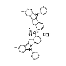 Cc1ccc2c(c1)c1c(n2-c2ccccc2)C2=CC=C[CH]([Zr+2]([CH]3C=CC=C4C3=Cc3c4n(-c4ccccc4)c4ccc(C)cc34)[SiH](C)C)C2=C1.[Cl-].[Cl-]